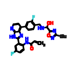 C=CC(=O)Nc1ccc(F)cc1-c1nc2c(-c3ccc(CNC(O)c4nc(C(C)(C)C)no4)c(F)c3)ccnc2[nH]1